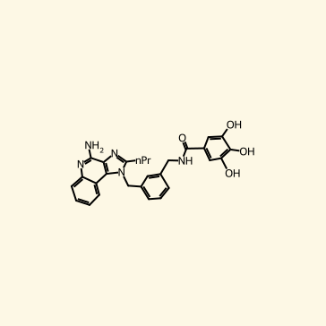 CCCc1nc2c(N)nc3ccccc3c2n1Cc1cccc(CNC(=O)c2cc(O)c(O)c(O)c2)c1